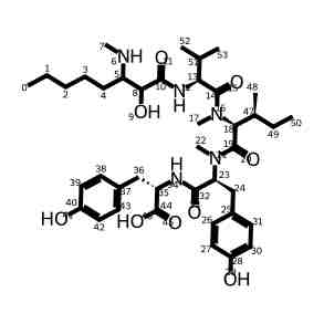 CCCCCC(NC)C(O)C(=O)N[C@H](C(=O)N(C)[C@H](C(=O)N(C)[C@@H](Cc1ccc(O)cc1)C(=O)N[C@@H](Cc1ccc(O)cc1)C(=O)O)[C@@H](C)CC)C(C)C